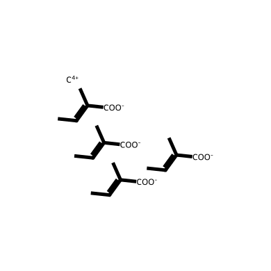 CC=C(C)C(=O)[O-].CC=C(C)C(=O)[O-].CC=C(C)C(=O)[O-].CC=C(C)C(=O)[O-].[C+4]